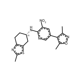 Cc1nc2c(s1)C[C@@H](Nc1ncc(-c3c(C)noc3C)cc1[N+](=O)[O-])CC2